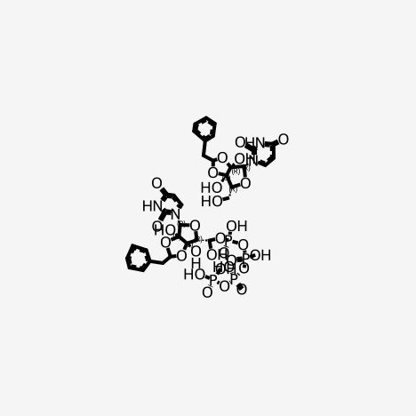 O=c1ccn([C@@H]2O[C@H](C(O)OP(=O)(O)OP(=O)(O)OP(=O)(O)OP(=O)(O)O)[C@]3(O)OC(Cc4ccccc4)O[C@]23O)c(=O)[nH]1.O=c1ccn([C@@H]2O[C@H](CO)[C@]3(O)OC(Cc4ccccc4)O[C@]23O)c(=O)[nH]1